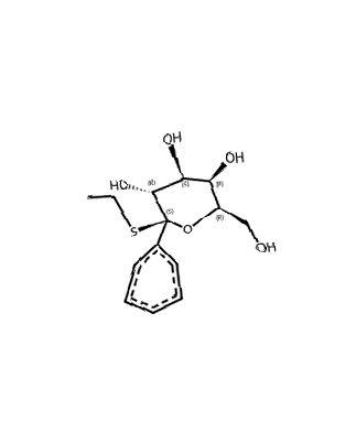 CCS[C@]1(c2ccccc2)O[C@H](CO)[C@H](O)[C@H](O)[C@H]1O